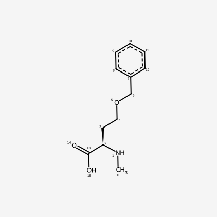 CN[C@H](CCOCc1ccccc1)C(=O)O